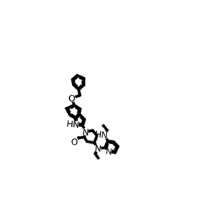 CCNc1cccnc1N(CC)C1CCN(c2cc3cc(OCc4ccccc4)ccc3[nH]2)C(C=O)C1